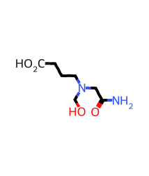 NC(=O)CN(CO)CCCC(=O)O